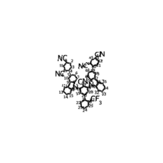 N#Cc1ccc(-c2ccc3c(c2)c2ccccc2n3-c2cc(-c3ccccc3C(F)(F)F)cc(-n3c4ccccc4c4cc(-c5ccc(C#N)cc5C#N)ccc43)c2C#N)c(C#N)c1